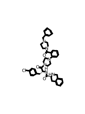 O=C(N[C@H](Cc1ccc(Cl)cc1)C(=O)N1CCN(c2ccccc2C(=O)N2CCN(Cc3ccccc3)CC2)CC1)[C@@H]1Cc2ccccc2CN1